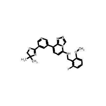 COc1cccc(F)c1CNc1ccc(-c2cncc(C3=NC(C)(C)CO3)c2)c2nncn12